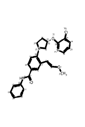 COC=Cc1cc(C(=O)Nc2ccccc2)ccc1N1CC[C@H](Oc2ncccc2Cl)C1